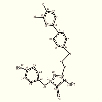 CCCn1c(CCCc2ccc(-c3ccc(C)c(C)c3)cc2)nn(Cc2ccc(C(C)(C)C)cc2)c1=O